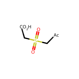 CC(=O)CS(=O)(=O)CC(=O)O